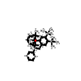 CC(C)(C)C(P)(c1cc([Si](C)(C)C)c([Si](C)(C)C)cc1CP(c1cnccn1)c1cnccn1)C(C)(C)C